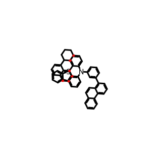 c1cc(-c2cccc3c2ccc2ccccc23)cc(N(c2ccccc2-c2cccc3cccc(C4CCCCC4)c23)c2cccc3c2sc2ccccc23)c1